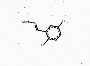 CN/N=C/c1cc(C)ccc1Cl